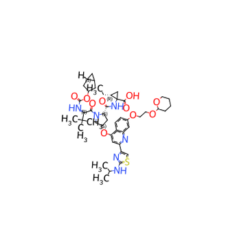 CC[C@@H]1CC1(NC(=O)[C@@H]1C[C@H](Oc2cc(-c3csc(NC(C)C)n3)nc3cc(OCCOC4CCCCO4)ccc23)CN1C(=O)[C@H](NC(=O)OC1CC2C[C@H]2C1)C(C)(C)C)C(=O)O